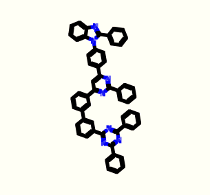 c1ccc(-c2nc(-c3ccc(-n4c(-c5ccccc5)nc5ccccc54)cc3)cc(-c3cccc(-c4cccc(-c5nc(-c6ccccc6)nc(-c6ccccc6)n5)c4)c3)n2)cc1